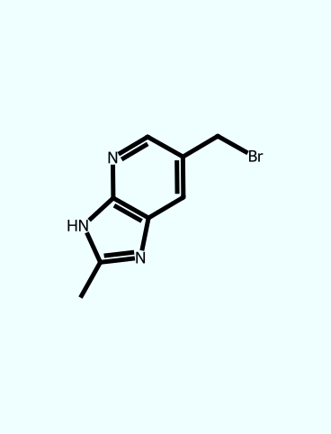 Cc1nc2cc(CBr)cnc2[nH]1